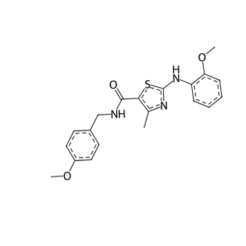 COc1ccc(CNC(=O)c2sc(Nc3ccccc3OC)nc2C)cc1